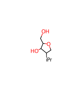 CC(C)C1COC(CO)C1O